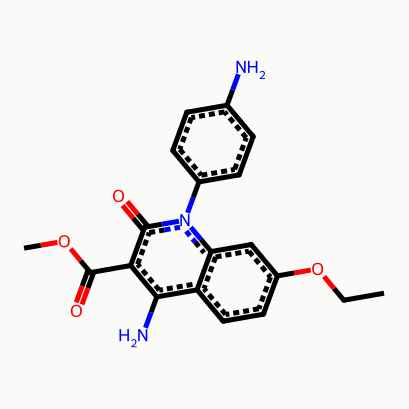 CCOc1ccc2c(N)c(C(=O)OC)c(=O)n(-c3ccc(N)cc3)c2c1